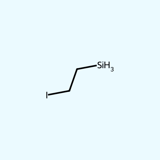 [SiH3]CCI